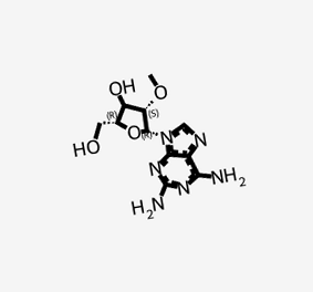 CO[C@H]1C(O)[C@@H](CO)O[C@H]1n1cnc2c(N)nc(N)nc21